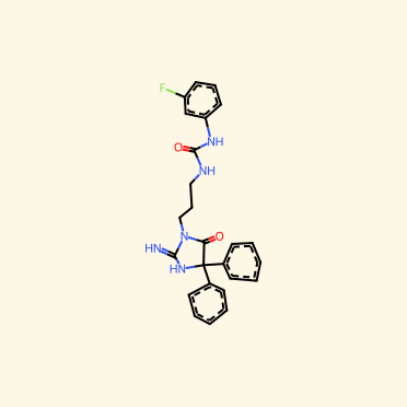 N=C1NC(c2ccccc2)(c2ccccc2)C(=O)N1CCCNC(=O)Nc1cccc(F)c1